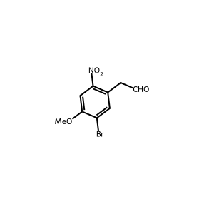 COc1cc([N+](=O)[O-])c(CC=O)cc1Br